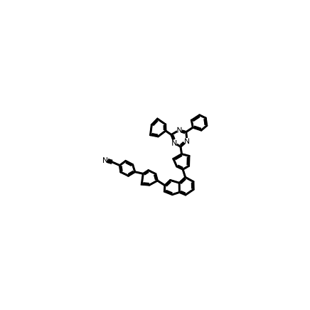 N#Cc1ccc(-c2ccc(-c3ccc4cccc(-c5ccc(-c6nc(-c7ccccc7)nc(-c7ccccc7)n6)cc5)c4c3)cc2)cc1